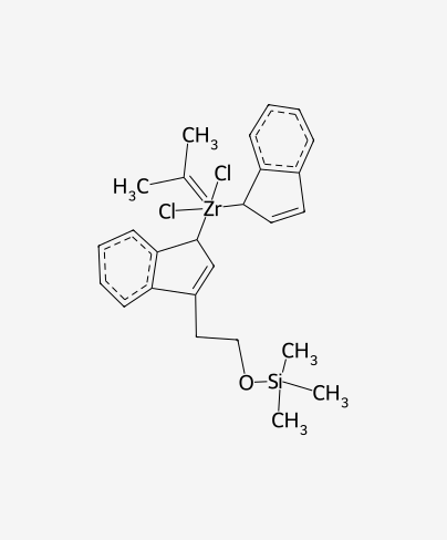 C[C](C)=[Zr]([Cl])([Cl])([CH]1C=Cc2ccccc21)[CH]1C=C(CCO[Si](C)(C)C)c2ccccc21